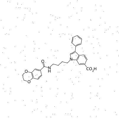 O=C(O)c1ccc2c(-c3ccccc3)cn(CCCCNC(=O)c3ccc4c(c3)OCCO4)c2c1